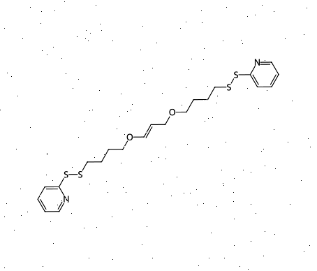 C(=COCCCCSSc1ccccn1)COCCCCSSc1ccccn1